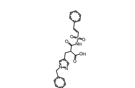 O=C(O)C(Cc1cnn(Cc2ccccc2)c1)C(=O)NS(=O)(=O)C=Cc1ccccc1